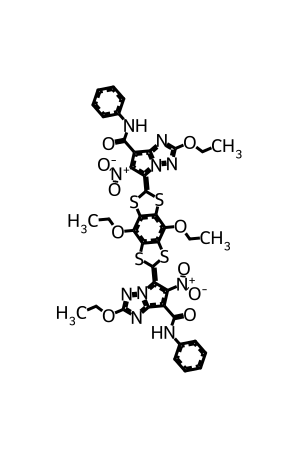 CCOc1nc2c(C(=O)Nc3ccccc3)c([N+](=O)[O-])c(=C3Sc4c(OCC)c5c(c(OCC)c4S3)SC(=c3c([N+](=O)[O-])c(C(=O)Nc4ccccc4)c4nc(OCC)nn34)S5)n2n1